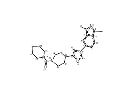 Cc1nn(C)c2cc(-c3noc(C4CCN(C(=O)N5CCCCC5)CC4)n3)ccc12